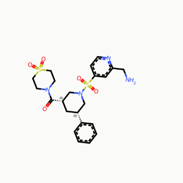 NCc1cc(S(=O)(=O)N2C[C@@H](C(=O)N3CCS(=O)(=O)CC3)C[C@@H](c3ccccc3)C2)ccn1